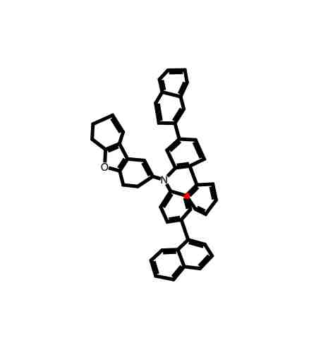 C1=Cc2c(oc3c2C=C(N(c2ccc(-c4cccc5ccccc45)cc2)c2cc(-c4ccc5ccccc5c4)ccc2-c2ccccc2)CC3)CC1